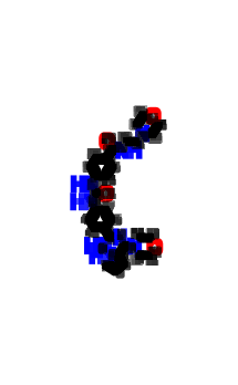 N=C(/N=C(\c1ccc[nH]1)N1CCOCC1)c1ccc(NC(=O)Nc2ccc(C(=O)NCCN3CCOCC3)cc2)cc1